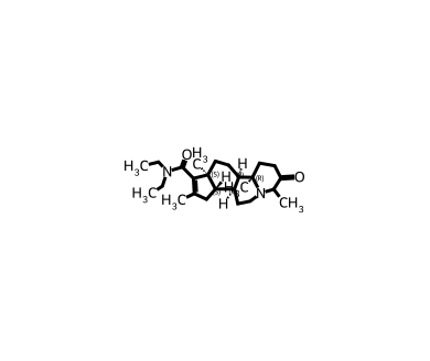 CCN(CC)C(=O)C1=C(C)C[C@H]2[C@@H]3CCN4C(C)C(=O)CC[C@]4(C)[C@@H]3CC[C@]12C